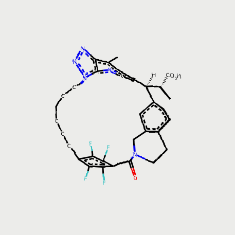 Cc1c2cnc3c1nnn3CCCCCCc1c(F)c(F)c(c(F)c1F)C(=O)N1CCc3ccc(cc3C1)[C@@H]2[C@@H](C)C(=O)O